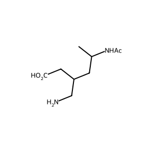 CC(=O)NC(C)CC(CN)CC(=O)O